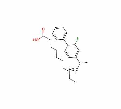 CC(C(=O)O)c1ccc(-c2ccccc2)c(F)c1.CCCCCCCCCC(=O)O